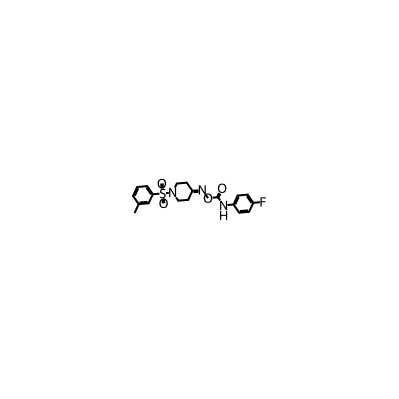 Cc1cccc(S(=O)(=O)N2CCC(=NOC(=O)Nc3ccc(F)cc3)CC2)c1